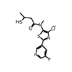 CC(S)CC(=O)N(C)c1sc(-c2cncc(F)c2)nc1Cl